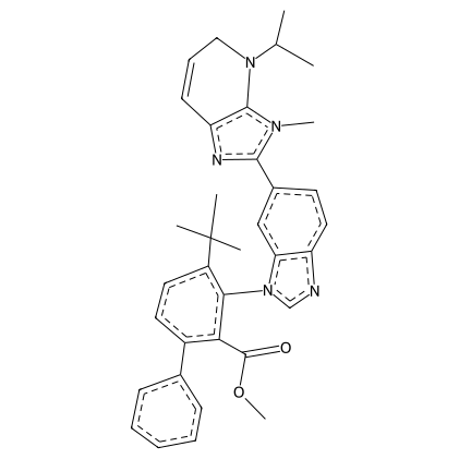 COC(=O)c1c(-c2ccccc2)ccc(C(C)(C)C)c1-n1cnc2ccc(-c3nc4c(n3C)N(C(C)C)CC=C4)cc21